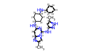 Cc1cn2c(Nc3cc(C)[nH]n3)nc(NC3CCC(Nc4ccccc4)CC3)cc2n1